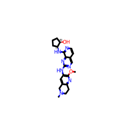 COc1nc2c(cc1Nc1ncc3ccnc(N[C@H]4CCC[C@H]4O)c3n1)CN(C)CC2